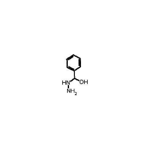 NNC(O)c1ccccc1